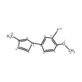 COc1ccc(-n2cnc(C)c2)cc1F